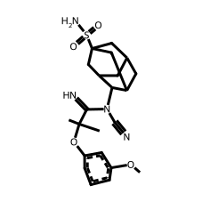 COc1cccc(OC(C)(C)C(=N)N(C#N)C2C3CC4CC2CC(S(N)(=O)=O)(C4)C3)c1